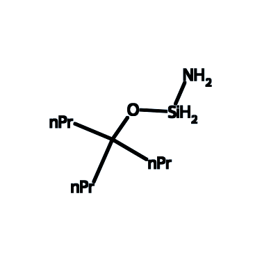 CCCC(CCC)(CCC)O[SiH2]N